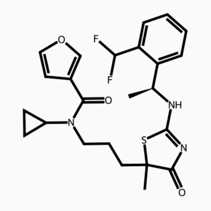 C[C@H](NC1=NC(=O)C(C)(CCCN(C(=O)c2ccoc2)C2CC2)S1)c1ccccc1C(F)F